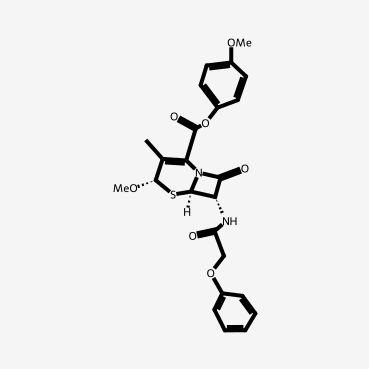 COc1ccc(OC(=O)C2=C(C)[C@@H](OC)S[C@@H]3[C@@H](NC(=O)COc4ccccc4)C(=O)N23)cc1